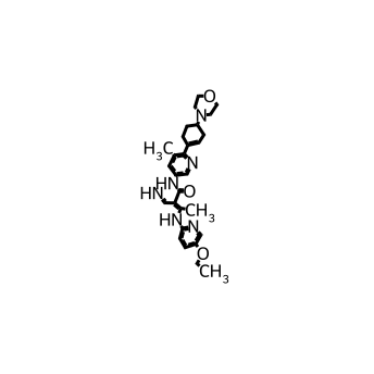 CCOc1ccc(N/C(C)=C(\C=N)C(=O)Nc2cnc(C3=CCC(N4CCOCC4)CC3)c(C)c2)nc1